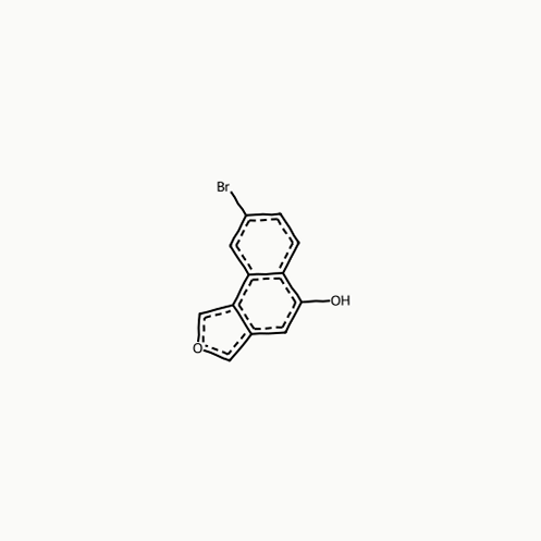 Oc1cc2cocc2c2cc(Br)ccc12